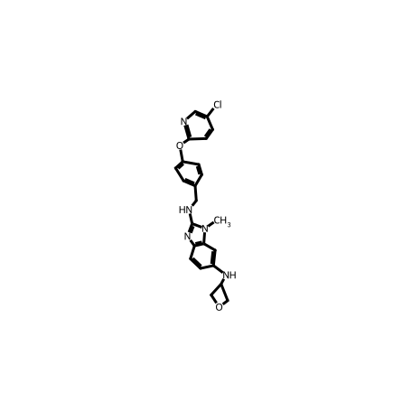 Cn1c(NCc2ccc(Oc3ccc(Cl)cn3)cc2)nc2ccc(NC3COC3)cc21